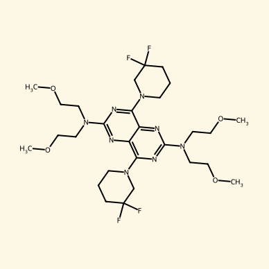 COCCN(CCOC)c1nc(N2CCCC(F)(F)C2)c2nc(N(CCOC)CCOC)nc(N3CCCC(F)(F)C3)c2n1